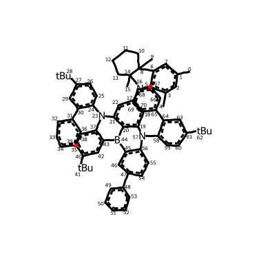 Cc1cc(C)c2c(c1)C1(C)CCCCC1(C)N2c1cc2c3c(c1)N(c1ccc(C(C)(C)C)cc1-c1ccccc1)c1ccc(C(C)(C)C)cc1B3c1cc(-c3ccccc3)ccc1N2c1ccc(C(C)(C)C)cc1-c1ccccc1